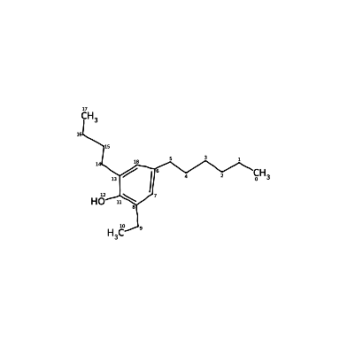 CCCCCCc1cc(CC)c(O)c(CCCC)c1